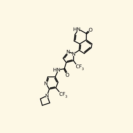 O=C(Nc1cnc(N2CCC2)c(C(F)(F)F)c1)c1cnn(-c2cccc3c(=O)[nH]ccc23)c1C(F)(F)F